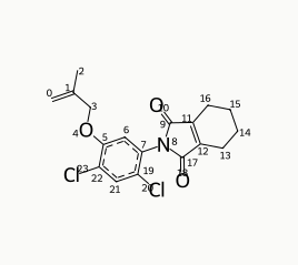 C=C(C)COc1cc(N2C(=O)C3=C(CCCC3)C2=O)c(Cl)cc1Cl